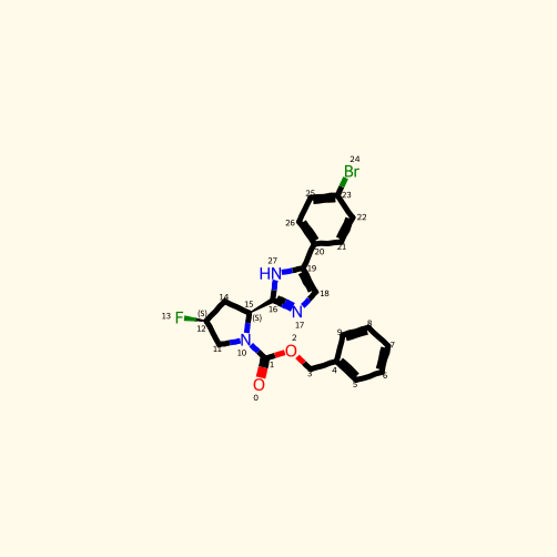 O=C(OCc1ccccc1)N1C[C@@H](F)C[C@H]1c1ncc(-c2ccc(Br)cc2)[nH]1